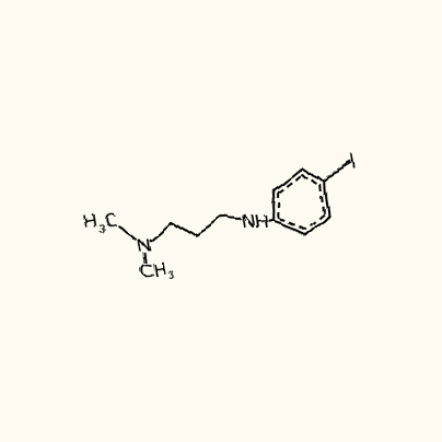 CN(C)CCCNc1ccc(I)cc1